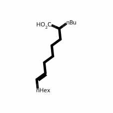 CCCCCCC=CCCCCC(CCCC)C(=O)O